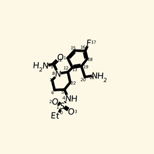 CCS(=O)(=O)NC1CCN(C(N)=O)C(c2ccc(F)cc2CN)C1